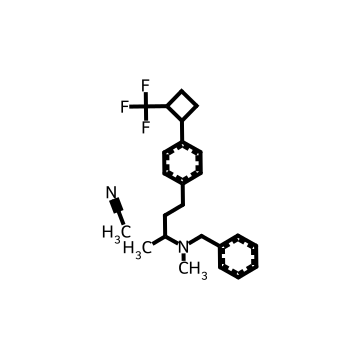 CC#N.CC(CCc1ccc(C2CCC2C(F)(F)F)cc1)N(C)Cc1ccccc1